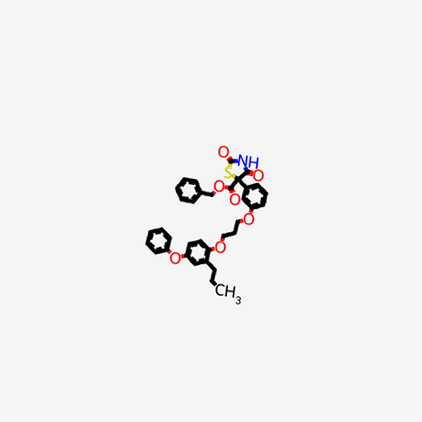 CCCc1cc(Oc2ccccc2)ccc1OCCCOc1cccc(C2(C(=O)OCc3ccccc3)SC(=O)NC2=O)c1